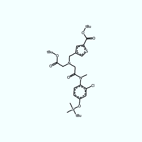 CN(C(=O)CN(CC(=O)OC(C)(C)C)Cc1csc(C(=O)OC(C)(C)C)c1)c1ccc(O[Si](C)(C)C(C)(C)C)cc1Cl